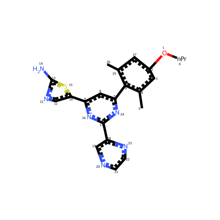 CCCOc1cc(C)c(-c2cc(-c3cnc(N)s3)nc(-c3cnccn3)n2)c(C)c1